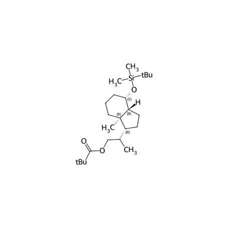 CC(COC(=O)C(C)(C)C)[C@H]1CC[C@H]2[C@@H](O[Si](C)(C)C(C)(C)C)CCC[C@]12C